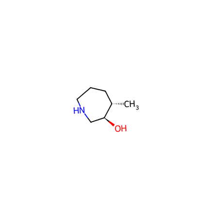 C[C@H]1CCCNC[C@@H]1O